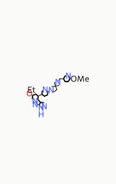 CCOc1cc(-c2ccc(N3CCC4(CN(Cc5ccc(OC)nc5)C4)C3)nc2)c2c3cn[nH]c3nn2c1